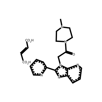 CN1CCN(C(=O)Cn2c(-c3ccccn3)nc3cccnc32)CC1.O=C(O)C=CC(=O)O